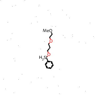 COCCOCCCO[SiH2]c1ccccc1